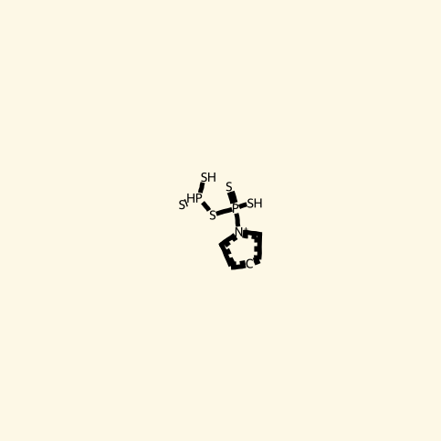 S=[PH](S)SP(=S)(S)[n+]1ccccc1